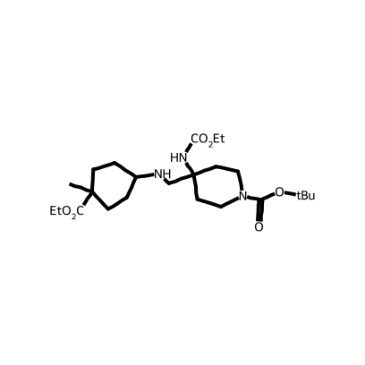 CCOC(=O)NC1(CNC2CCC(C)(C(=O)OCC)CC2)CCN(C(=O)OC(C)(C)C)CC1